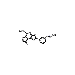 CNc1nc2oc(-c3cccc(/C=C/C#N)c3)nc2c2c1ncn2C